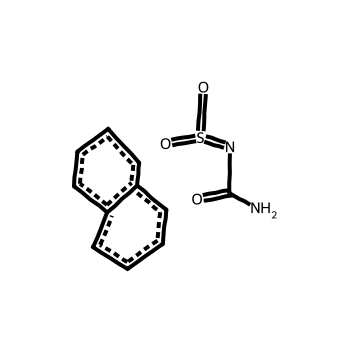 NC(=O)N=S(=O)=O.c1ccc2ccccc2c1